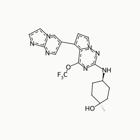 C[C@]1(O)CC[C@@H](Nc2nc(OC(F)(F)F)c3c(-c4cnc5nccn5c4)ccn3n2)CC1